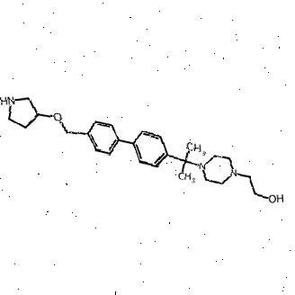 CC(C)(c1ccc(-c2ccc(COC3CCNC3)cc2)cc1)N1CCN(CCO)CC1